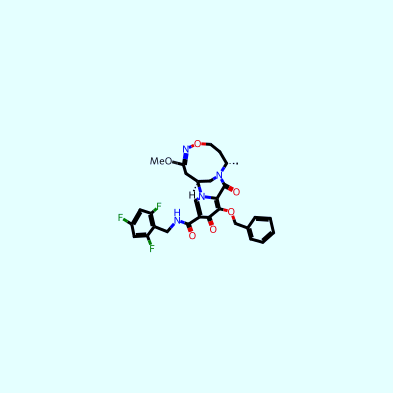 CO/C1=N/OCC[C@H](C)N2C[C@H](C1)n1cc(C(=O)NCc3c(F)cc(F)cc3F)c(=O)c(OCc3ccccc3)c1C2=O